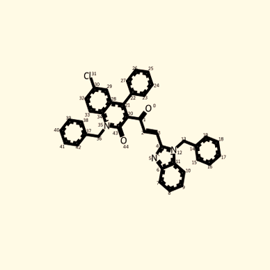 O=C(C=Cc1nc2ccccc2n1Cc1ccccc1)c1c(-c2ccccc2)c2cc(Cl)ccc2n(Cc2ccccc2)c1=O